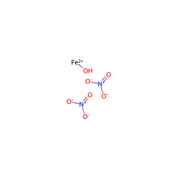 O=[N+]([O-])[O-].O=[N+]([O-])[O-].[OH][Fe+2]